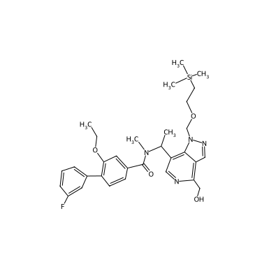 CCOc1cc(C(=O)N(C)C(C)c2cnc(CO)c3cnn(COCC[Si](C)(C)C)c23)ccc1-c1cccc(F)c1